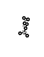 c1ccc(-c2nc(-c3ccccc3)nc(-c3ccc4c(c3)Oc3ccc(-n5c6ccccc6c6ccccc65)c5cccc-4c35)n2)cc1